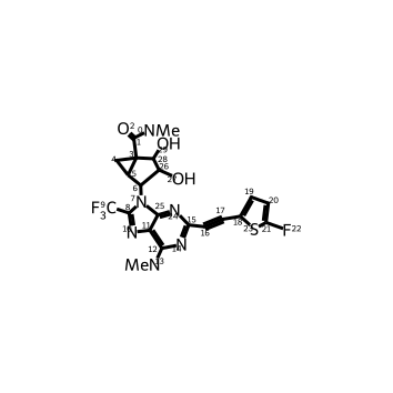 CNC(=O)C12CC1C(n1c(C(F)(F)F)nc3c(NC)nc(C#Cc4ccc(F)s4)nc31)C(O)C2O